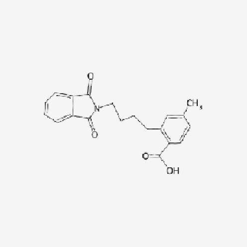 Cc1ccc(C(=O)O)c(CCCCN2C(=O)c3ccccc3C2=O)c1